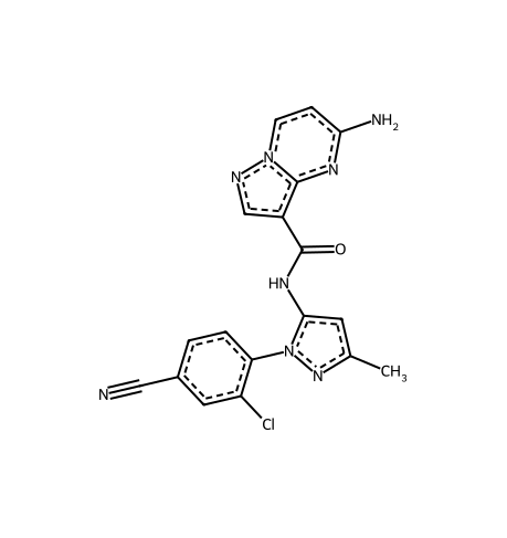 Cc1cc(NC(=O)c2cnn3ccc(N)nc23)n(-c2ccc(C#N)cc2Cl)n1